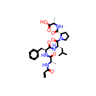 C=CC(=O)N[C@@H](C)C(=O)N[C@@H](Cc1ccccc1)C(=O)N[C@@H](CC(C)C)C(=O)N1CCC[C@H]1C(=O)N[C@@H](C)C(=O)O